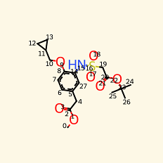 COC(=O)Cc1ccc(OCC2CC2)c(NS(=O)(=O)CC(=O)OC(C)(C)C)c1